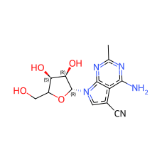 Cc1nc(N)c2c(C#N)cn([C@@H]3OC(CO)[C@@H](O)[C@H]3O)c2n1